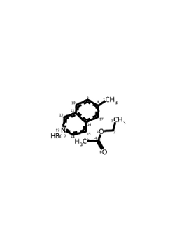 Br.CCOC(C)=O.Cc1ccc2cnccc2c1